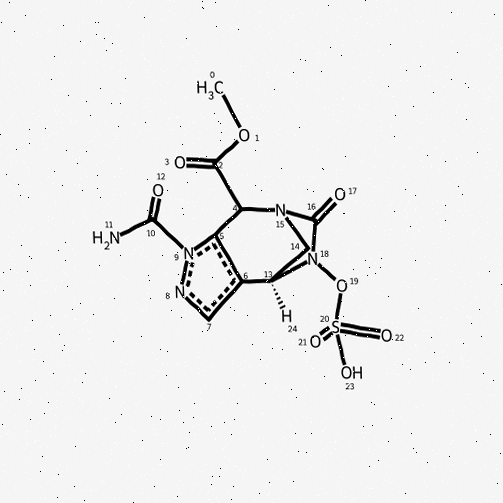 COC(=O)C1c2c(cnn2C(N)=O)[C@H]2CN1C(=O)N2OS(=O)(=O)O